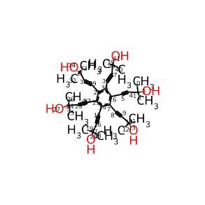 CC(C)(O)C#Cc1c(C#CC(C)(C)O)c(C#CC(C)(C)O)c(C#CC(C)(C)O)c(C#CC(C)(C)O)c1C#CC(C)(C)O